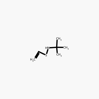 C=CSNC(C)(C)C